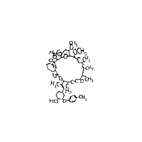 CCC1/C=C(\C)CC(C)CC(OC)C2OC(O)(C(=O)C(=O)N3CCCCC3C(=O)OC(C(C)=CC3CCC(O)C(Oc4ccc(C)cc4)C3)C(C)CCC1=O)C(C)CC2OC